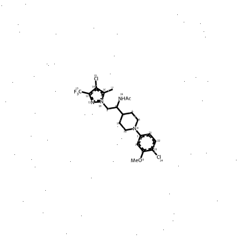 COc1cc(N2CCC(C(Cn3nc(C(F)(F)F)c(Cl)c3C)NC(C)=O)CC2)ccc1Cl